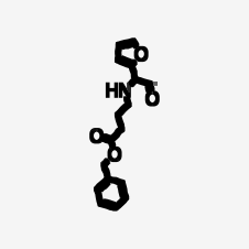 O=[C]C(NCCCC(=O)OCc1ccccc1)c1ccco1